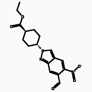 CCOC(=O)[C@H]1CC[C@H](n2cc3cc([N+](=O)[O-])c(C=O)cc3n2)CC1